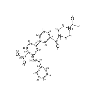 CC(=O)N1CCN(C(=O)c2cccc(-c3ccc([N+](=O)[O-])c(NCc4ccccc4)c3)c2)CC1